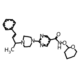 CC(/C=C/c1ccccc1)N1CCN(c2ncc(C(=O)NOC3CCCCO3)cn2)CC1